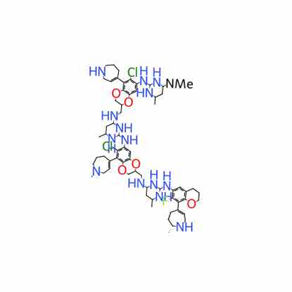 CNC1CC(C)NC(Nc2cc3c(c(C4=CCNCCC4)c2Cl)OCC(CNC2CC(C)NC(Nc4cc5c(c(C6=CCN(C)CCC6)c4Cl)OCC(CNC4CC(C)NC(Nc6cc7c(c(C8=CCN[C@H](C)CC8)c6F)OCCC7)N4)O5)N2)O3)N1